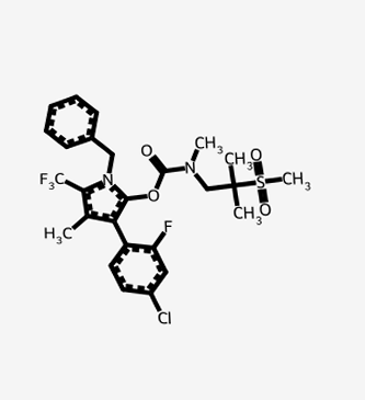 Cc1c(-c2ccc(Cl)cc2F)c(OC(=O)N(C)CC(C)(C)S(C)(=O)=O)n(Cc2ccccc2)c1C(F)(F)F